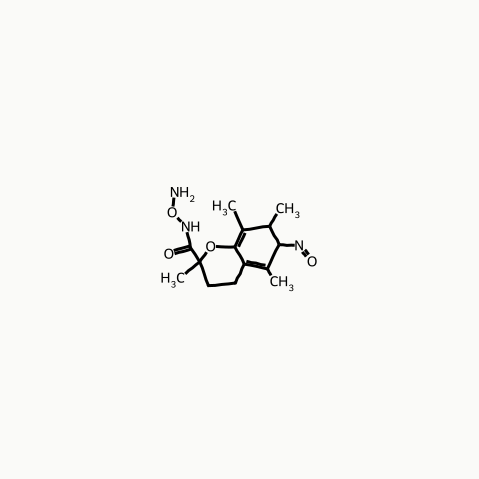 CC1=C2OC(C)(C(=O)NON)CCC2=C(C)C(N=O)C1C